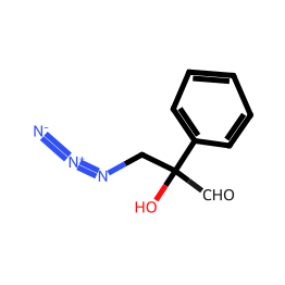 [N-]=[N+]=NCC(O)(C=O)c1ccccc1